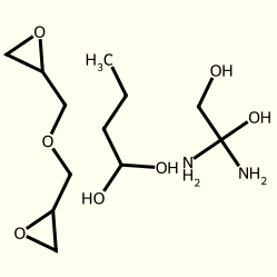 C(OCC1CO1)C1CO1.CCCC(O)O.NC(N)(O)CO